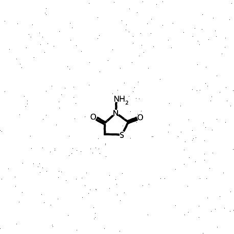 NN1C(=O)CSC1=O